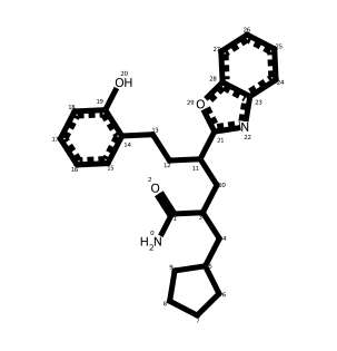 NC(=O)C(CC1CCCC1)CC(CCc1ccccc1O)c1nc2ccccc2o1